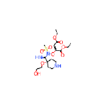 CCOC(=O)C=C(ON(C(=N)C1(OCCO)CCNCC1)S(C)(=O)=O)C(=O)OCC